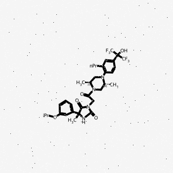 CCCc1cc(C(O)(C(F)(F)F)C(F)(F)F)ccc1N1C[C@H](C)N(C(=O)CN2C(=O)NC(C)(c3cccc(OC(C)C)c3)C2=O)C[C@H]1C